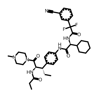 CCC(=O)N[C@@H](C(=O)N1CCN(C)CC1)[C@@H](CC)c1ccc(NC(=O)[C@@H](NC(=O)C(F)(F)c2cccc(C#N)c2)C2CCCCC2)cc1